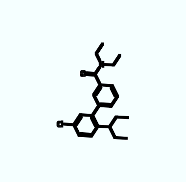 CCC(CC)c1ccc(Cl)cc1-c1cccc(C(=O)N(CC)CC)c1